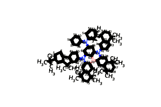 CC(C)(C)c1ccc2c(c1)C(C)(C)c1cc(N3c4cc5c(cc4B4c6cc7c(cc6N(c6ccc8c(c6)C(C)(C)CCC8(C)C)c6cc(N(c8ccccc8)c8ccccc8)cc3c64)C(C)(C)CCC7(C)C)C(C)(C)CCC5(C)C)ccc1-2